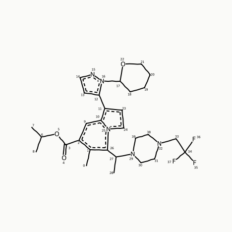 Cc1c(C(=O)OC(C)C)cc2c(-c3ccnn3C3CCCCO3)ccn2c1C(C)N1CCN(CC(F)(F)F)CC1